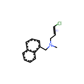 CN(C/C=C/Cl)Cc1cccc2ccccc12